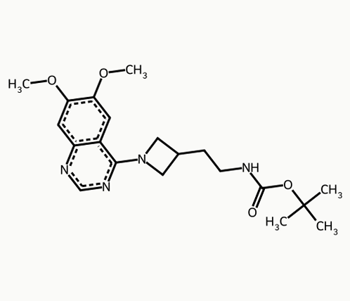 COc1cc2ncnc(N3CC(CCNC(=O)OC(C)(C)C)C3)c2cc1OC